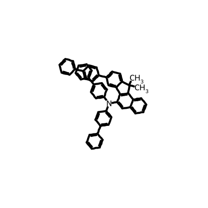 CC1(C)c2ccc(-c3ccc(-c4ccccc4)cc3)cc2-c2c(N(c3ccc(-c4ccccc4)cc3)c3ccc(-c4ccccc4)cc3)cc3ccccc3c21